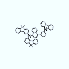 CC1(C)c2ccccc2-c2cc(N(c3cccc4c3-c3ccccc3C4(C)C)c3ccc(-c4cccc(-n5c6ccccc6c6ccccc65)c4)c4ccccc34)ccc21